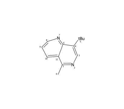 Cc1ncc(C(C)(C)C)c2ncccc12